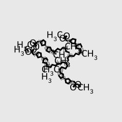 COC(=O)C[C@H]1CCC([C@H]2CC[C@H]([C@H](C)CCC[C@H](C)CC[C@H](CCC[C@@H](C)[C@H]3CC[C@H](C4CC[C@H](CC(=O)OC)C4)C3)CC[C@@H](CCC[C@@H](C)[C@H]3CC[C@H](C4CC[C@H](CC(=O)OC)C4)C3)CC[C@@H](C)CCC[C@@H](C)[C@H]3CC[C@H](C4CC[C@H](CC(=O)OC)C4)C3)C2)C1